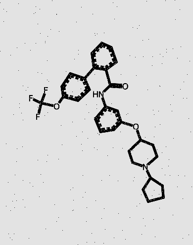 O=C(Nc1cccc(OC2CCN(C3CCCC3)CC2)c1)c1ccccc1-c1ccc(OC(F)(F)F)cc1